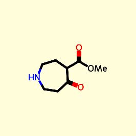 COC(=O)C1CCNCCC1=O